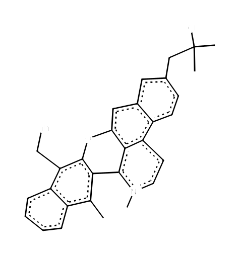 Cc1c2c(c(CC(C)C)c3ccccc13)Oc1cc3cc(CC(C)(C)C(F)(F)F)ccc3c3cc[n+](C)c-2c13